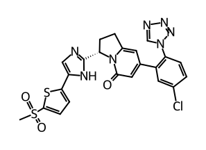 CS(=O)(=O)c1ccc(-c2cnc([C@@H]3CCc4cc(-c5cc(Cl)ccc5-n5cnnn5)cc(=O)n43)[nH]2)s1